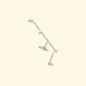 CCCCCCCCCSC(=O)CCCCCCCC(CCCCCCCC(=O)SCCCCCCCCC)CCCCN(C)C